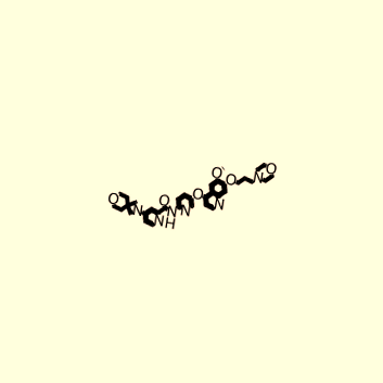 COc1cc2c(Oc3ccc(NC(=O)c4cc(N5CC6(CCOCC6)C5)ccn4)nc3)ccnc2cc1OCCCN1CCOCC1